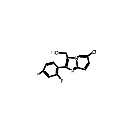 OCc1c(-c2ccc(F)cc2F)nc2ccc(Cl)cn12